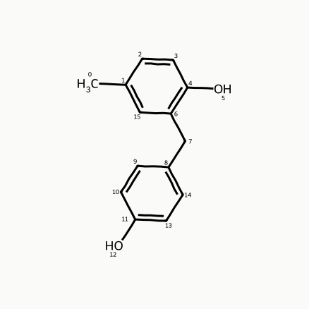 Cc1ccc(O)c(Cc2ccc(O)cc2)c1